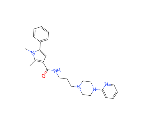 Cc1c(C(=O)NCCCN2CCN(c3ccccn3)CC2)cc(-c2ccccc2)n1C